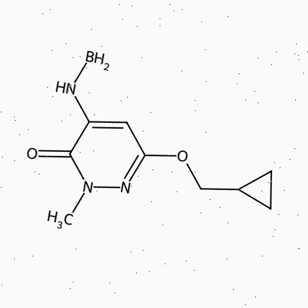 BNc1cc(OCC2CC2)nn(C)c1=O